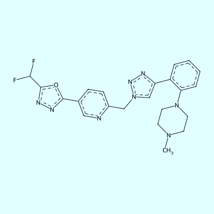 CN1CCN(c2ccccc2-c2cn(Cc3ccc(-c4nnc(C(F)F)o4)cn3)nn2)CC1